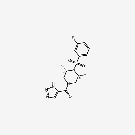 C[C@@H]1CN(C(=O)c2cnn[nH]2)C[C@H](C)N1S(=O)(=O)c1cccc(F)c1